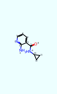 Nc1ncccc1C(=O)NC1CC1